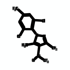 Nc1c([S+]([O-])C(F)(F)F)c(C(F)(F)F)nn1-c1c(Cl)cc(C(F)(F)F)cc1Cl